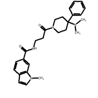 CN(C)C1(c2ccccc2)CCN(C(=O)CCNC(=O)c2ccc3ccn(C)c3c2)CC1